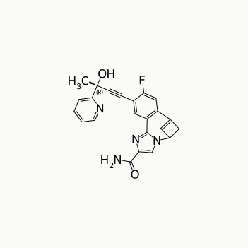 C[C@@](O)(C#Cc1cc2c(cc1F)C1=CC(C1)n1cc(C(N)=O)nc1-2)c1ccccn1